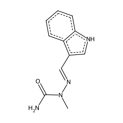 CN(N=Cc1c[nH]c2ccccc12)C(N)=O